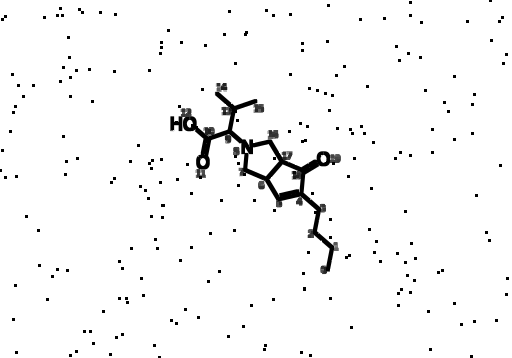 CCCCC1=CC2CN(C(C(=O)O)C(C)C)CC2C1=O